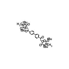 CN(C(=O)OC(C)(C)C)[C@H](C(=O)OCC(=O)c1ccc(-c2ccc(C(=O)COC(=O)[C@@H](N(C)C(=O)OC(C)(C)C)C(C)(C)C)cc2)cc1)C(C)(C)C